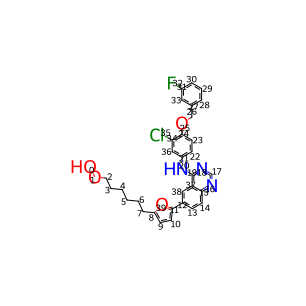 OOCCCCCCc1ccc(-c2ccc3ncnc(Nc4ccc(OCc5cccc(F)c5)c(Cl)c4)c3c2)o1